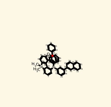 C[Si]1(C)c2cccc(N(c3ccc(-c4ccccc4)cc3)c3cccc(-c4ccc5ccccc5c4)c3)c2-c2c1ccc1oc3ccccc3c21